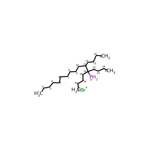 Br.CCCCCCCCCCC(CCCC)C(P)(CCCC)CCCC